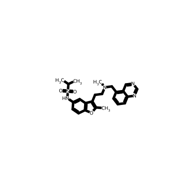 Cc1oc2ccc(NS(=O)(=O)C(C)C)cc2c1CCN(C)Cc1cccc2ncncc12